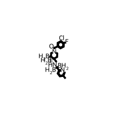 BC(B)(NCC1(F)CCN(C(=O)c2ccc(F)c(Cl)c2)CC1(B)B)c1ccc(C)cn1